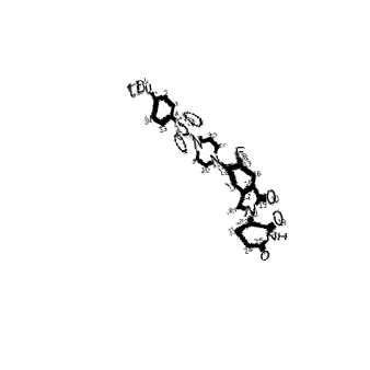 CC(C)(C)c1ccc(S(=O)(=O)N2CCN(c3cc4c(cc3F)C(=O)N(C3CCC(=O)NC3=O)C4)CC2)cc1